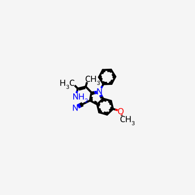 COc1ccc2c(C#N)c(C(C)=C(C)N)n(-c3ccccc3)c2c1